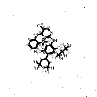 [2H]C1([2H])CC(c2cc(OC([2H])(C([2H])([2H])[2H])C([2H])([2H])[2H])c(Nc3ncc(Cl)c(Nc4ccccc4S(=O)(=O)C(C)C)n3)cc2C)CC([2H])([2H])N1